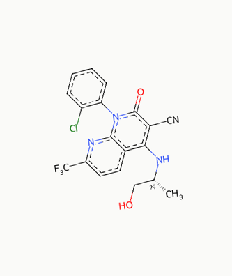 C[C@H](CO)Nc1c(C#N)c(=O)n(-c2ccccc2Cl)c2nc(C(F)(F)F)ccc12